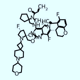 C#Cc1c(F)ccc2c1[C@@H](c1ncc3c(NCC4(N(C)C(=O)C=C)CCCC4)nc(OC[C@]4(C)C[C@@H](F)CN4C4CC5(CCN(C6CCOCC6)CC5)C4)nc3c1F)CCO2